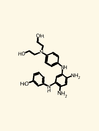 Nc1cc(N)c(Nc2cccc(O)c2)cc1Nc1ccc(N(CCO)CCO)cc1